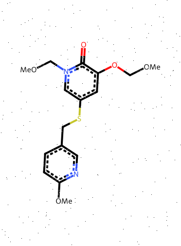 COCOc1cc(SCc2ccc(OC)nc2)cn(COC)c1=O